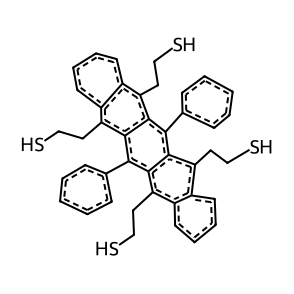 SCCc1c2ccccc2c(CCS)c2c(-c3ccccc3)c3c(CCS)c4ccccc4c(CCS)c3c(-c3ccccc3)c12